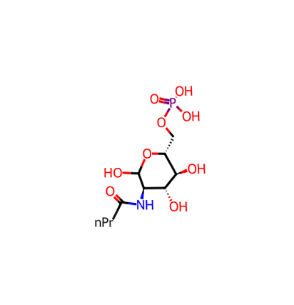 CCCC(=O)N[C@H]1C(O)O[C@H](COP(=O)(O)O)[C@@H](O)[C@@H]1O